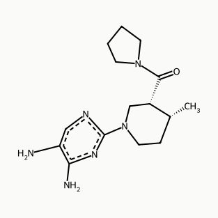 C[C@@H]1CCN(c2ncc(N)c(N)n2)C[C@@H]1C(=O)N1CCCC1